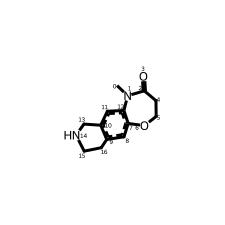 CN1C(=O)CCOc2cc3c(cc21)CNCC3